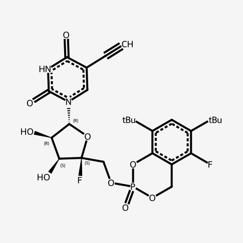 C#Cc1cn([C@@H]2O[C@](F)(COP3(=O)OCc4c(F)c(C(C)(C)C)cc(C(C)(C)C)c4O3)[C@@H](O)[C@H]2O)c(=O)[nH]c1=O